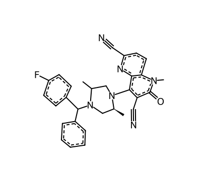 CC1CN(c2c(C#N)c(=O)n(C)c3ccc(C#N)nc23)[C@@H](C)CN1C(c1ccccc1)c1ccc(F)cc1